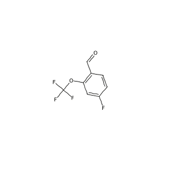 O=Cc1ccc(F)cc1OC(F)(F)F